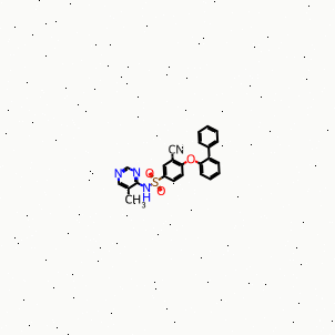 Cc1cncnc1NS(=O)(=O)c1ccc(Oc2ccccc2-c2ccccc2)c(C#N)c1